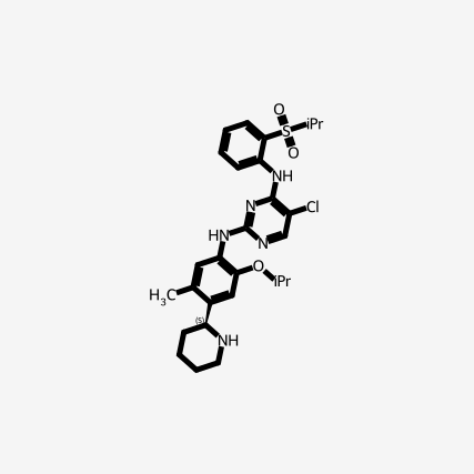 Cc1cc(Nc2ncc(Cl)c(Nc3ccccc3S(=O)(=O)C(C)C)n2)c(OC(C)C)cc1[C@@H]1CCCCN1